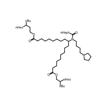 CCCCCCCC(=O)N(CCCCN1CCCC1)C(CCCCCCCCC(=O)OCCC(CCCC)CCCCCC)CCCCCCCCC(=O)OCC(CCCC)CCCCCC